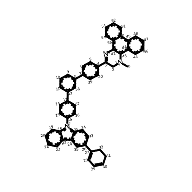 CN1CC(c2ccc(-c3cccc(-c4ccc(-n5c6ccccc6c6cc(C7=CC=CCC7)ccc65)cc4)c3)cc2)=Nc2c1c1ccccc1c1ccccc21